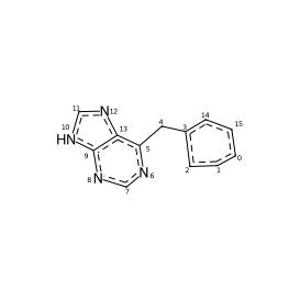 c1ccc(Cc2ncnc3[nH]cnc23)cc1